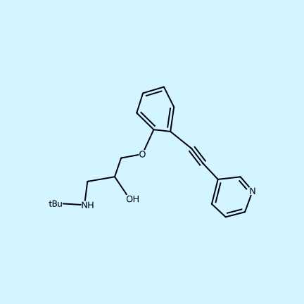 CC(C)(C)NCC(O)COc1ccccc1C#Cc1cccnc1